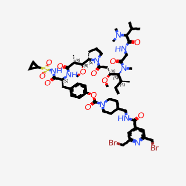 CC[C@H](C)[C@@H]([C@@H](CC(=O)N1CCC[C@H]1[C@H](OC)[C@@H](C)C(=O)N[C@@H](Cc1ccc(OC(=O)N2CCC(CNC(=O)c3cc(CBr)nc(CBr)c3)CC2)cc1)C(=O)NS(=O)(=O)C1CC1)OC)N(C)C(=O)CNC(=O)C(C(C)C)N(C)C